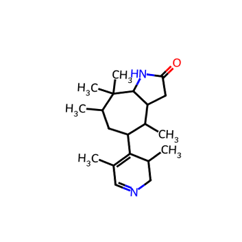 CC1=C(C2CC(C)C(C)(C)C3NC(=O)CC3C2C)C(C)CN=C1